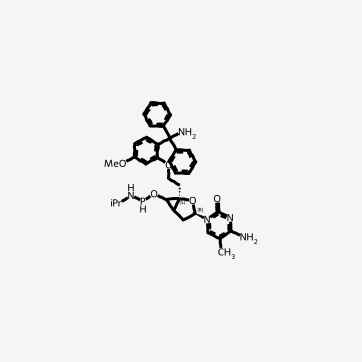 COc1ccc(C(N)(c2ccccc2)c2ccccc2)c(OCC[C@]23O[C@@H](n4cc(C)c(N)nc4=O)CC2C3OPNC(C)C)c1